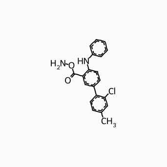 Cc1ccc(-c2ccc(Nc3ccccc3)c(C(=O)ON)c2)c(Cl)c1